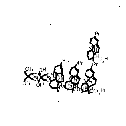 CC(C)C1=CC2=CC[C@@H]3[C@](C)(CCC[C@@]3(C)C(=O)O)[C@H]2CC1.CC(C)C1=CC2=CC[C@@H]3[C@](C)(CCC[C@@]3(C)C(=O)O)[C@H]2CC1.CC(C)C1=CC2=CC[C@@H]3[C@](C)(CCC[C@@]3(C)C(=O)O)[C@H]2CC1.CC(C)C1=CC2=CC[C@@H]3[C@](C)(CCC[C@@]3(C)C(=O)O)[C@H]2CC1.OCC(CO)(CO)CO.OCC(CO)(CO)CO